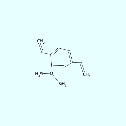 C=Cc1ccc(C=C)cc1.[SiH3]O[SiH3]